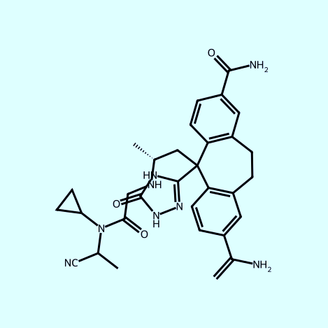 C=C(N)c1ccc2c(c1)CCc1cc(C(N)=O)ccc1C2(C[C@@H](C)NCC(=O)N(C(C)C#N)C1CC1)c1n[nH]c(=O)[nH]1